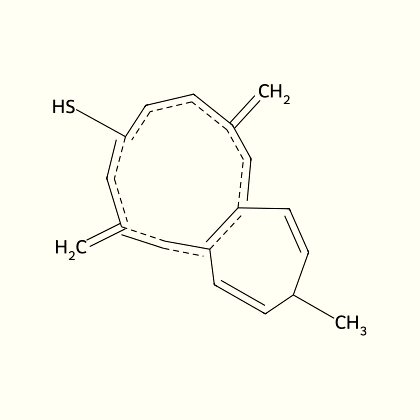 C=c1ccc(S)cc(=C)cc2c(c1)C=CC(C)C=C2